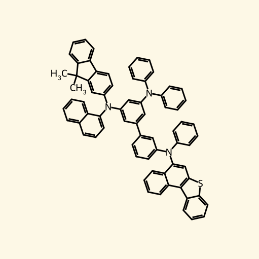 CC1(C)c2ccccc2-c2ccc(N(c3cc(-c4cccc(N(c5ccccc5)c5cc6sc7ccccc7c6c6ccccc56)c4)cc(N(c4ccccc4)c4ccccc4)c3)c3cccc4ccccc34)cc21